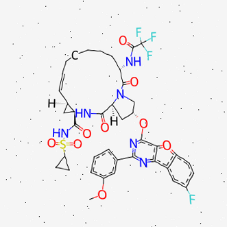 COc1cccc(-c2nc(O[C@@H]3C[C@H]4C(=O)N[C@]5(C(=O)NS(=O)(=O)C6CC6)C[C@H]5/C=C\CCCCC[C@H](NC(=O)C(F)(F)F)C(=O)N4C3)c3oc4ccc(F)cc4c3n2)c1